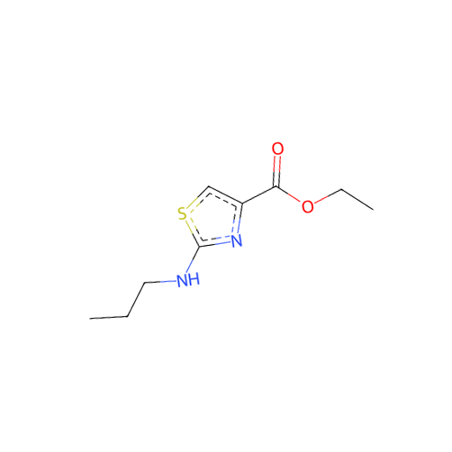 CCCNc1nc(C(=O)OCC)cs1